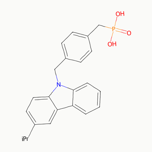 CC(C)c1ccc2c(c1)c1ccccc1n2Cc1ccc(CP(=O)(O)O)cc1